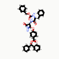 O=C(N[C@@H](Cc1ccccc1)C(=O)N[C@@H]1C(=O)N[C@H]1Oc1ccc(C(=O)OC(c2ccccc2)c2ccccc2)cc1)OCc1ccccc1